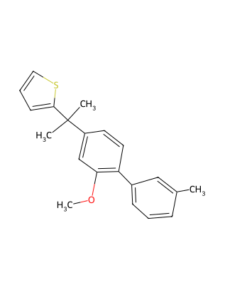 COc1cc(C(C)(C)c2cccs2)ccc1-c1cccc(C)c1